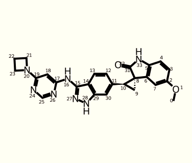 COc1ccc2c(c1)[C@]1(C[C@H]1c1ccc3c(Nc4cc(N5CCC5)ncn4)n[nH]c3c1)C(=O)N2